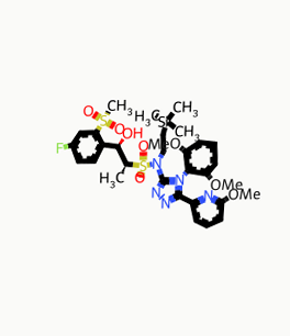 COc1cccc(-c2nnc(N(CC[Si](C)(C)C)S(=O)(=O)[C@H](C)[C@H](O)c3ccc(F)cc3S(C)(=O)=O)n2-c2c(OC)cccc2OC)n1